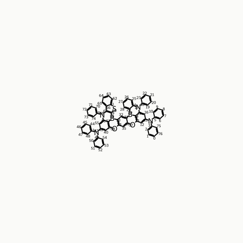 c1ccc(N(c2ccccc2)c2cc3c4c(c2)N(c2ccccc2)c2ccccc2B4c2cc4c(cc2O3)Oc2cc(N(c3ccccc3)c3ccccc3)cc3c2B4c2sc4ccccc4c2N3c2ccccc2)cc1